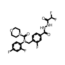 O=C(NNC(=O)C(F)F)c1ccc(CN(C(=O)N2CCOCC2)c2ccc(F)cc2F)c(F)c1